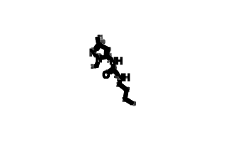 CCCCNC(=O)Nc1cc(C)nn1C